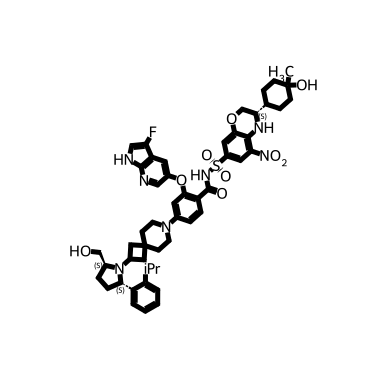 CC(C)c1ccccc1[C@@H]1CC[C@@H](CO)N1C1CC2(CCN(c3ccc(C(=O)NS(=O)(=O)c4cc5c(c([N+](=O)[O-])c4)N[C@@H](C4CCC(C)(O)CC4)CO5)c(Oc4cnc5[nH]cc(F)c5c4)c3)CC2)C1